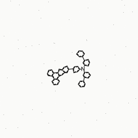 c1ccc(-c2cccc(N(c3ccc(-c4ccc5cc6c7ccccc7c7ccccc7c6cc5c4)cc3)c3cccc(-c4ccccc4)c3)c2)cc1